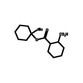 CC(C)(C)C1(OC(=O)C2CCCCC2C(=O)O)CCCCC1